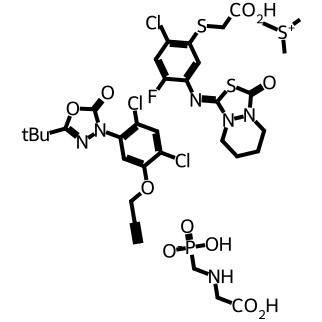 C#CCOc1cc(-n2nc(C(C)(C)C)oc2=O)c(Cl)cc1Cl.C[S+](C)C.O=C(O)CNCP(=O)([O-])O.O=C(O)CSc1cc(N=c2sc(=O)n3n2CCCC3)c(F)cc1Cl